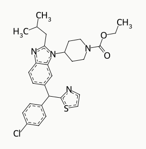 CCOC(=O)N1CCC(n2c(CC(C)C)nc3ccc(C(c4ccc(Cl)cc4)c4nccs4)cc32)CC1